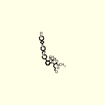 CNC(=O)C(CCC=O)n1c(=O)n(C)c2c(C3CCN(CC4(F)CCN(C5CC6(CCNCC6)C5)CC4)CC3)cccc21